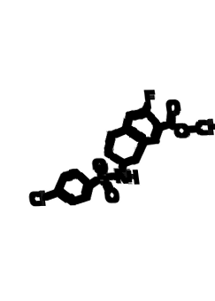 COC(=O)c1cc2c(cc1F)CCC(NS(=O)(=O)c1ccc(Cl)cc1)C2